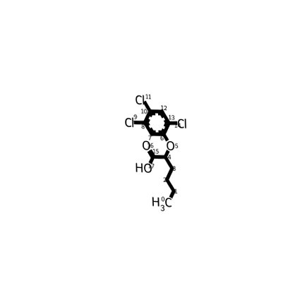 CCCCC(Oc1cc(Cl)c(Cl)cc1Cl)C(=O)O